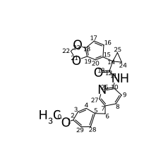 COc1ccc(Cc2ccc(NC(=O)C3(c4ccc5c(c4)OCO5)CC3)nc2)cc1